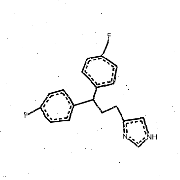 Fc1ccc(C(CCc2c[nH]cn2)c2ccc(F)cc2)cc1